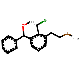 CO[C](c1ccccc1)c1cccc(CCSC)c1CBr